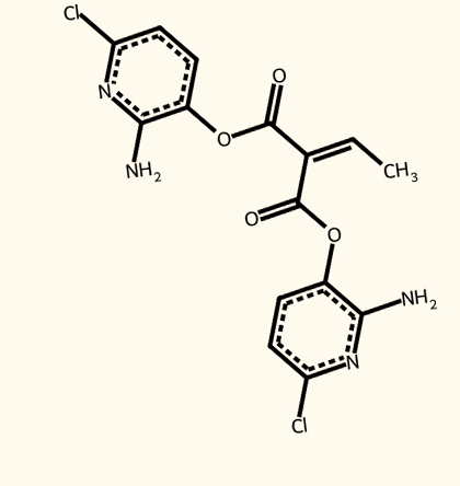 CC=C(C(=O)Oc1ccc(Cl)nc1N)C(=O)Oc1ccc(Cl)nc1N